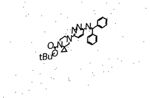 CC(C)(C)OC(=O)N1CCN(c2ccc(N=C(c3ccccc3)c3ccccc3)nn2)CC12CC2